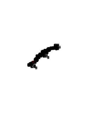 CCC1(COCOc2ccc(C(=O)Oc3ccc4c(c3)C(C)c3cc(OC(=O)c5ccc(OCOCC6(CC)COC6)cc5)ccc3-4)cc2)COC1